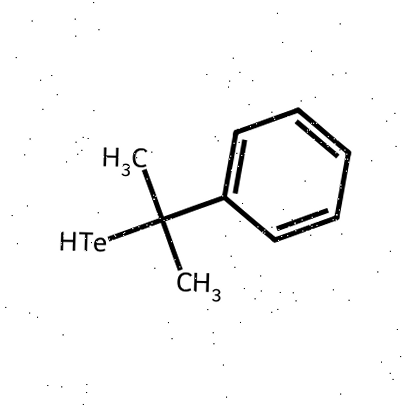 CC(C)([TeH])c1ccccc1